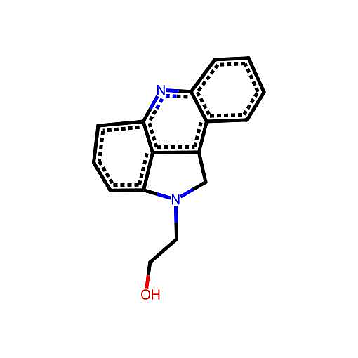 OCCN1Cc2c3ccccc3nc3cccc1c23